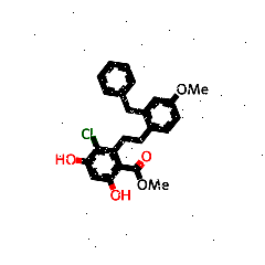 COC(=O)c1c(O)cc(O)c(Cl)c1CCc1ccc(OC)cc1Cc1ccccc1